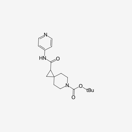 CC(C)(C)OC(=O)N1CCC2(CC1)CC2C(=O)Nc1ccncc1